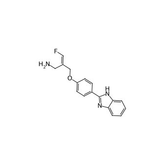 NC/C(=C\F)COc1ccc(-c2nc3ccccc3[nH]2)cc1